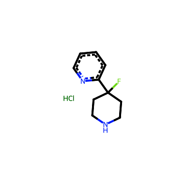 Cl.FC1(c2ccccn2)CCNCC1